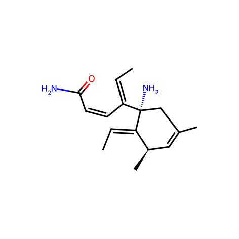 C/C=C(/C=C\C(N)=O)[C@@]1(N)CC(C)=C[C@@H](C)/C1=C\C